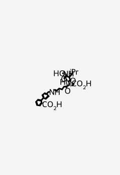 CC(C)CC(C(=O)NO)C(=O)N[C@H](CC(=O)O)C(=O)CCCCCNCc1ccc(-c2ccccc2C(=O)O)cc1